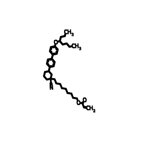 C=CC(=O)OCCCCCCCCCC1(C#N)CCCC(c2ccc(-c3ccc(OC(CCC)CCCC)cc3)cc2)C1